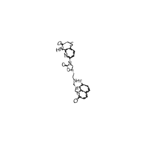 O=C1CSc2ccc(N3C[C@H](CCNC[C@@H]4Cn5c(=O)ccc6ccc(F)c4c65)OC3=O)nc2N1